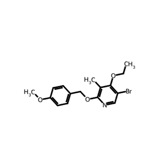 CCOc1c(Br)cnc(OCc2ccc(OC)cc2)c1C